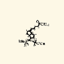 COC(=O)CCCC=C1CCC2C1CC(OC(C)(C)OC)C2CO[Si](C)(C)C(C)(C)C